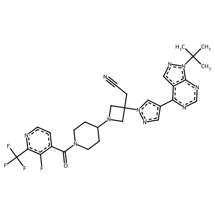 CC(C)(C)n1ncc2c(-c3cnn(C4(CC#N)CN(C5CCN(C(=O)c6ccnc(C(F)(F)F)c6F)CC5)C4)c3)ncnc21